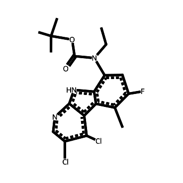 CCN(C(=O)OC(C)(C)C)c1cc(F)c(C)c2c1[nH]c1ncc(Cl)c(Cl)c12